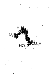 CN(Cc1cnc2nc(N)nc(NC(=O)CCn3ccnc3[N+](=O)[O-])c2n1)c1ccc(C(=O)NC(CCC(=O)O)C(=O)O)cc1